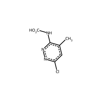 Cc1cc(Cl)nnc1NC(=O)O